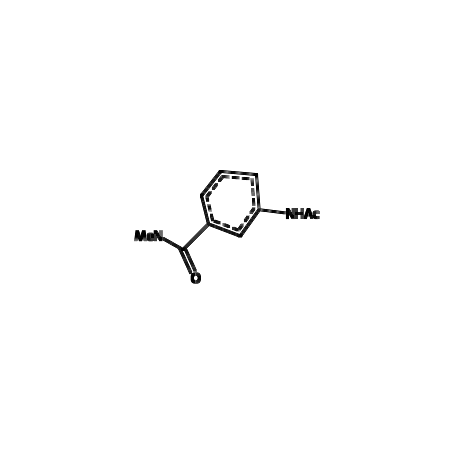 CNC(=O)c1cccc(NC(C)=O)c1